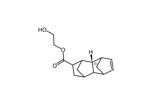 O=C(OCCO)C1CC2CC1[C@@H]1C3C=CC(C3)C21